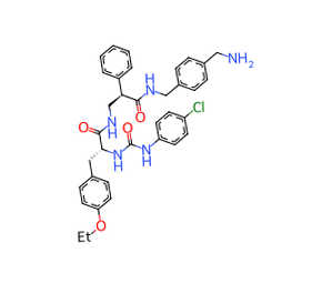 CCOc1ccc(C[C@@H](NC(=O)Nc2ccc(Cl)cc2)C(=O)NC[C@H](C(=O)NCc2ccc(CN)cc2)c2ccccc2)cc1